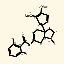 COc1ccc(C23CC=C(OC(=O)c4c(C)cccc4C)CC2N(C)CC3)cc1OC